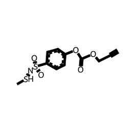 C#CCOC(=O)Oc1ccc(S(=O)(=O)N=[SH]C)cc1